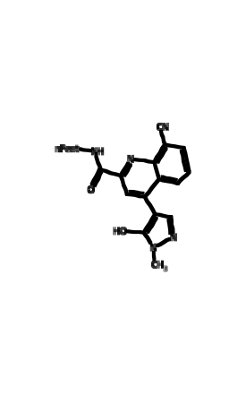 CCCCCNC(=O)c1cc(-c2cnn(C)c2O)c2cccc(C#N)c2n1